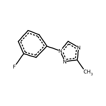 Cc1ncn(-c2cccc(F)c2)n1